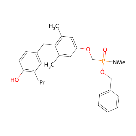 CNP(=O)(COc1cc(C)c(Cc2ccc(O)c(C(C)C)c2)c(C)c1)OCc1ccccc1